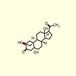 C#CC[C@]12CCC(=O)C[C@]1(O)CC[C@H]1[C@@H]3CC[C@H](C(C)=O)[C@@]3(C)CC[C@@H]12